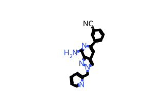 N#Cc1cccc(-c2cc3cn(Cc4ccccn4)nc3c(N)n2)c1